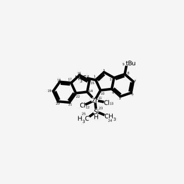 CC1=Cc2c(cccc2C(C)(C)C)[CH]1[Zr]([Cl])([Cl])([CH]1C=Cc2ccccc21)[SiH](C)C